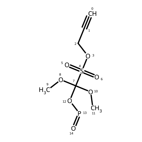 C#CCOS(=O)(=O)C(OC)(OC)OP=O